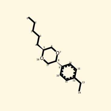 CCCCC[C@H]1CO[C@H](c2ccc(CC)cc2)CO1